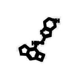 c1c(SNc2c3c(cc4c2CC4)CCC3)sc2c1CNCC2